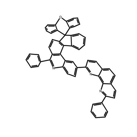 c1ccc(-c2ccc3ccc4ccc(-c5ccc6nc(-c7ccccc7)c7ccc8c(c7c6c5)-c5ccccc5C85c6ccccc6Oc6ccccc65)nc4c3n2)cc1